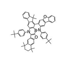 CC(C)(C)c1ccc(N2B3c4oc5cc6c(cc5c4N(c4ccc(C(C)(C)C)cc4)c4cc5c(c(c43)-c3cc4oc7ccccc7c4cc32)C(C)(C)c2ccccc2-5)C(C)(C)CCC6(C)C)cc1